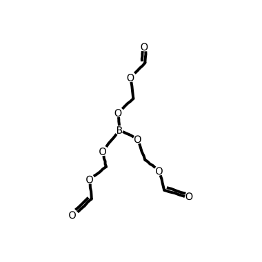 O=COCOB(OCOC=O)OCOC=O